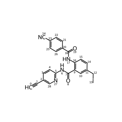 C#Cc1ccc(NC(=O)c2cc(CI)ccc2NC(=O)c2ccc(C#N)cc2)nc1